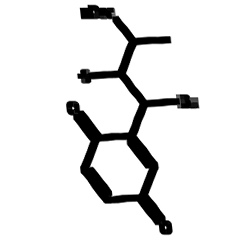 CCCCCCCCCCC(C)C([S])C(C1=CC(=O)C=CC1=O)C(C)CC